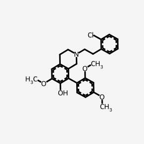 COc1ccc(-c2c(O)c(OC)cc3c2CN(CCc2ccccc2Cl)CC3)c(OC)c1